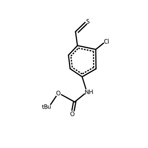 CC(C)(C)OC(=O)Nc1ccc(C=S)c(Cl)c1